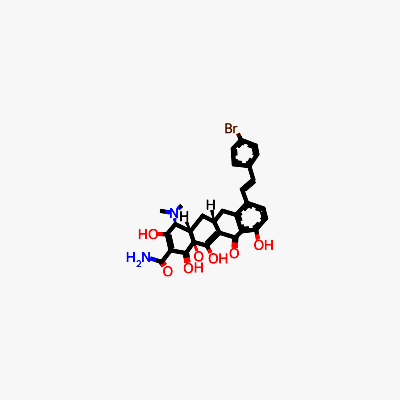 CN(C)[C@@H]1C(O)=C(C(N)=O)C(=O)[C@@]2(O)C(O)=C3C(=O)c4c(O)ccc(/C=C/c5ccc(Br)cc5)c4C[C@H]3C[C@@H]12